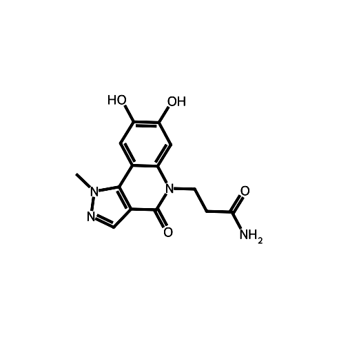 Cn1ncc2c(=O)n(CCC(N)=O)c3cc(O)c(O)cc3c21